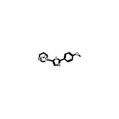 COc1ccc(-c2ncc(N3CCN4CCC3CC4)s2)cc1